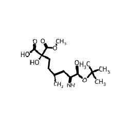 COC(=O)[C@](O)(CCC(C)CC(=N)C(=O)OC(C)(C)C)C(=O)O